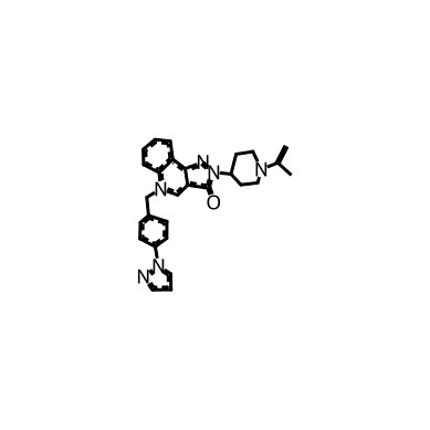 C=C(C)N1CCC(n2nc3c4ccccc4n(Cc4ccc(-n5cccn5)cc4)cc-3c2=O)CC1